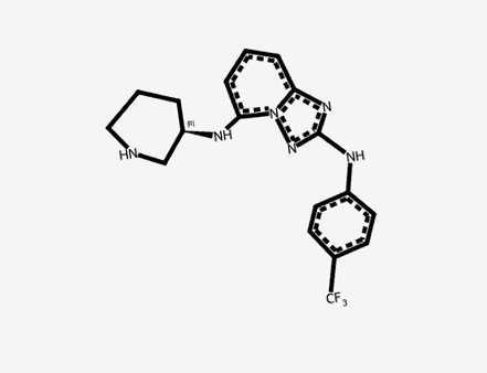 FC(F)(F)c1ccc(Nc2nc3cccc(N[C@@H]4CCCNC4)n3n2)cc1